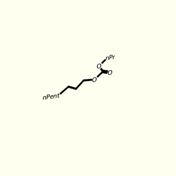 CCCCCCCCOC(=O)OCCC